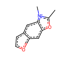 Cc1oc2cc3occc3cc2[n+]1C